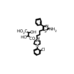 Nc1nc(-c2ccccc2)c(CCCN2CCN(c3ccccc3Cl)CC2)s1.O=C(O)C(O)C(O)C(=O)O